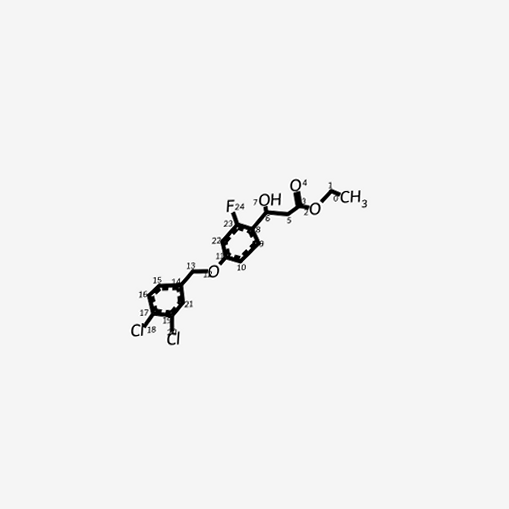 CCOC(=O)CC(O)c1ccc(OCc2ccc(Cl)c(Cl)c2)cc1F